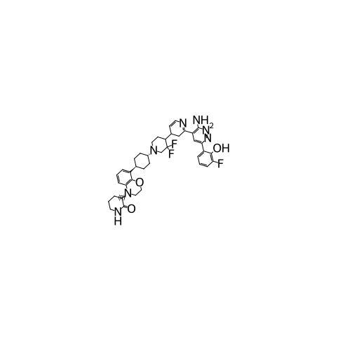 Nc1nnc(-c2cccc(F)c2O)cc1C1=NC=CC(C2CCN([C@H]3CC[C@H](c4cccc5c4OCCN5[C@@H]4CCCNC4=O)CC3)CC2(F)F)C1